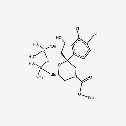 CC(C)(C)OC(=O)N1CCO[C@](CCO)(c2ccc(Cl)c(Cl)c2)C1.CC(C)(C)[Si](C)(C)O[Si](C)(C)C(C)(C)C